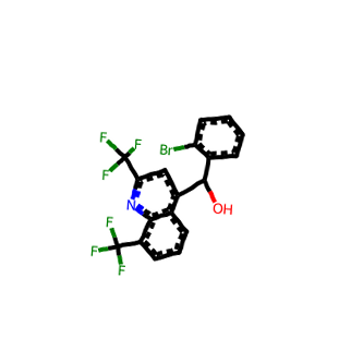 OC(c1ccccc1Br)c1cc(C(F)(F)F)nc2c(C(F)(F)F)cccc12